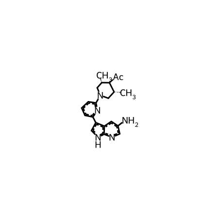 CC(=O)C1[C@H](C)CN(c2cccc(-c3c[nH]c4ncc(N)cc34)n2)C[C@@H]1C